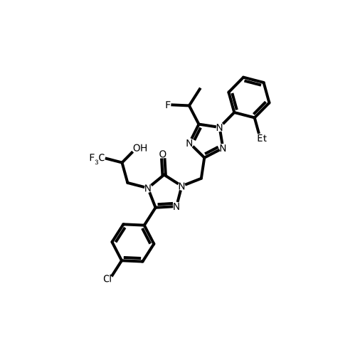 CCc1ccccc1-n1nc(Cn2nc(-c3ccc(Cl)cc3)n(CC(O)C(F)(F)F)c2=O)nc1C(C)F